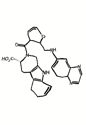 O=C(O)[C@H]1Cc2c([nH]c3c2CCC=C3)CN1C(=O)C1C=COC1CNC1=CCC2N=CC=NC2=C1